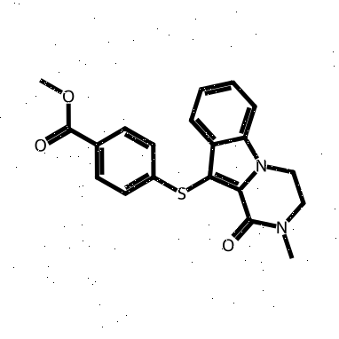 COC(=O)c1ccc(Sc2c3n(c4ccccc24)CCN(C)C3=O)cc1